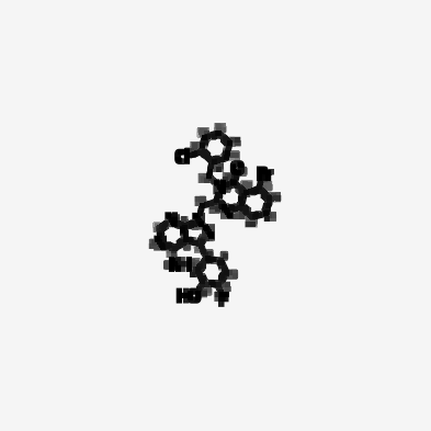 Nc1ncnc2c1c(-c1ccc(F)c(O)c1)nn2Cc1nc2cccc(Br)c2c(=O)n1Cc1ccccc1Cl